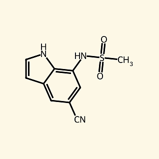 CS(=O)(=O)Nc1cc(C#N)cc2cc[nH]c12